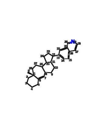 C[C@]12CCCCC1=CC1CCC3C(c4ccc5ccncc5c4)CCC3C1CC2